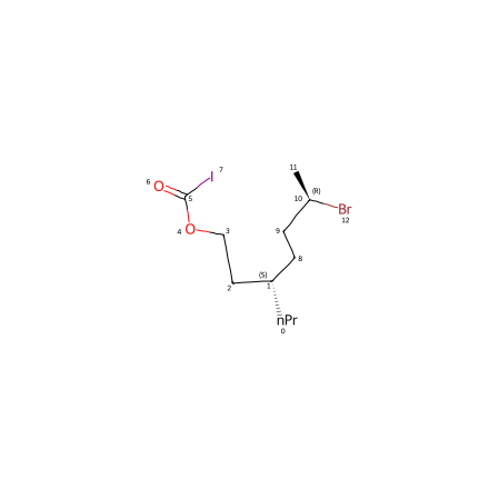 CCC[C@H](CCOC(=O)I)CC[C@@H](C)Br